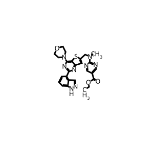 CCOC(=O)c1cnc(N(C)Cc2cc3nc(-c4cccc5[nH]ncc45)nc(N4CCOCC4)c3s2)nc1